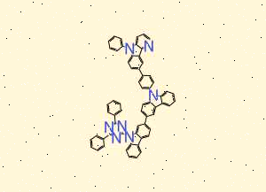 c1ccc(-c2nc(-c3ccccc3)nc(-n3c4ccccc4c4ccc(-c5ccc6c(c5)c5ccccc5n6-c5ccc(-c6ccc7c(c6)c6ncccc6n7-c6ccccc6)cc5)cc43)n2)cc1